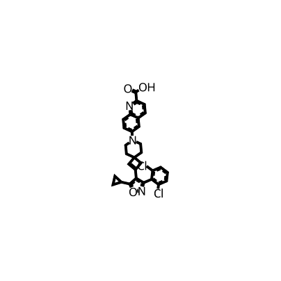 O=C(O)c1ccc2cc(N3CCC4(C=C(c5c(-c6c(Cl)cccc6Cl)noc5C5CC5)C4)CC3)ccc2n1